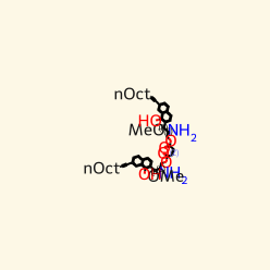 CCCCCCCCC#Cc1ccc2ccc([C@@H](OC)[C@@H](N)COC(=O)/C=C\C(=O)OC[C@H](N)[C@H](OC)c3ccc4ccc(C#CCCCCCCCC)cc4c3O)c(O)c2c1